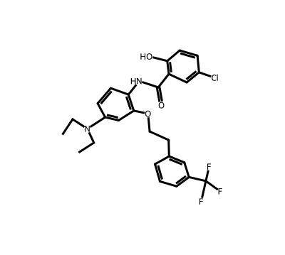 CCN(CC)c1ccc(NC(=O)c2cc(Cl)ccc2O)c(OCCc2cccc(C(F)(F)F)c2)c1